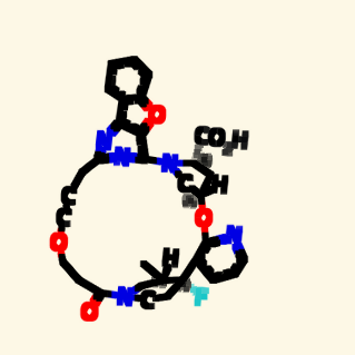 C[C@H]1CN2CC[C@]1(F)c1cccnc1O[C@H]1C[C@@H](C(=O)O)N(C1)c1nc(nc3c1oc1ccccc13)CCCOCCC2=O